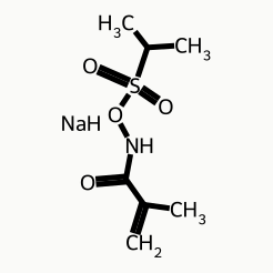 C=C(C)C(=O)NOS(=O)(=O)C(C)C.[NaH]